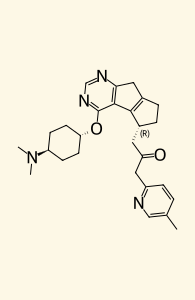 Cc1ccc(CC(=O)C[C@H]2CCC3=C2c2c(ncnc2O[C@H]2CC[C@H](N(C)C)CC2)C3)nc1